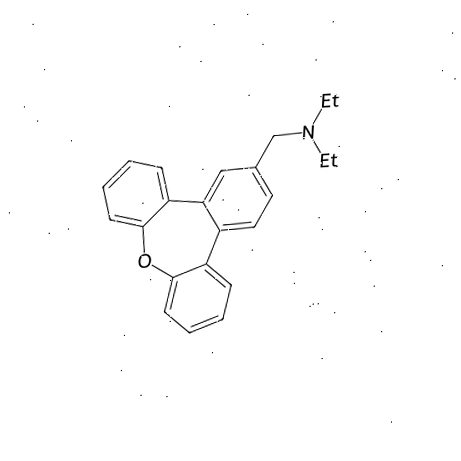 CCN(CC)Cc1ccc2c(c1)-c1ccccc1Oc1ccccc1-2